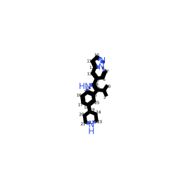 CC(C)c1c(-c2ccn3nccc3c2)[nH]c2ccc(C3CCNCC3)cc12